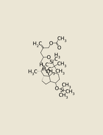 C=C(COC(C)=O)CC(CC[C@@H](C)[C@H]1CCC2C(O[Si](C)(C)C)CCC[C@]21C)O[Si](C)(C)C(C)(C)C